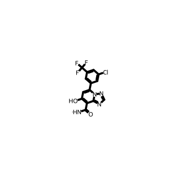 [NH]C(=O)c1c(O)cc(-c2cc(Cl)cc(C(F)(F)F)c2)n2ncnc12